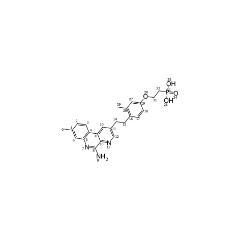 Cc1ccc2c(c1)nc(N)c1ncc(CCc3ccc(OCCP(=O)(O)O)cc3C)cc12